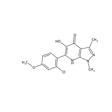 COc1ccc(-c2[nH]c3c(c(C)nn3C)c(=O)c2O)c(Cl)c1